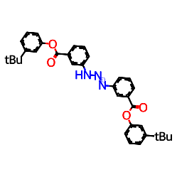 CC(C)(C)c1cccc(OC(=O)c2cccc(/N=N/Nc3cccc(C(=O)Oc4cccc(C(C)(C)C)c4)c3)c2)c1